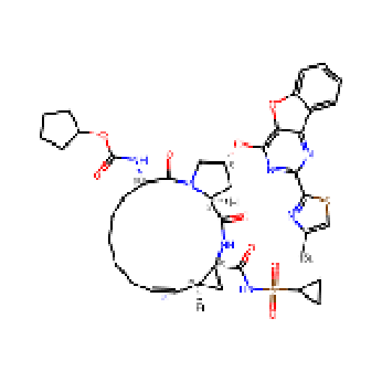 CC(C)(C)c1csc(-c2nc(O[C@@H]3C[C@H]4C(=O)N[C@]5(C(=O)NS(=O)(=O)C6CC6)C[C@H]5/C=C\CCCCC[C@H](NC(=O)OC5CCCC5)C(=O)N4C3)c3oc4ccccc4c3n2)n1